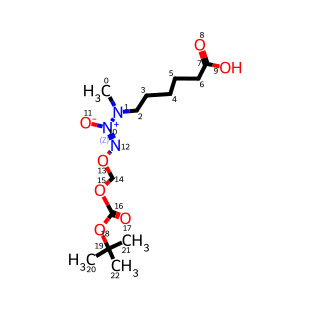 CN(CCCCCC(=O)O)/[N+]([O-])=N/OCOC(=O)OC(C)(C)C